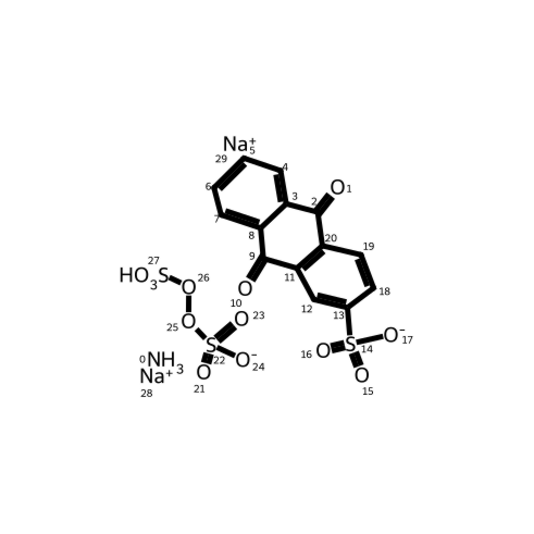 N.O=C1c2ccccc2C(=O)c2cc(S(=O)(=O)[O-])ccc21.O=S(=O)([O-])OOS(=O)(=O)O.[Na+].[Na+]